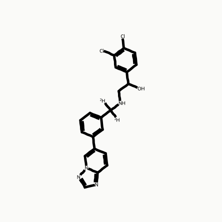 [2H]C([2H])(NCC(O)c1ccc(Cl)c(Cl)c1)c1cccc(-c2ccc3ncnn3c2)c1